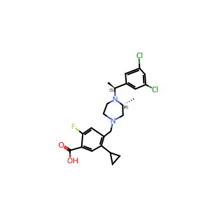 C[C@@H]1CN(Cc2cc(F)c(C(=O)O)cc2C2CC2)CCN1[C@@H](C)c1cc(Cl)cc(Cl)c1